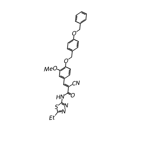 CCc1nnc(NC(=O)/C(C#N)=C/c2ccc(OCc3ccc(OCc4ccccc4)cc3)c(OC)c2)s1